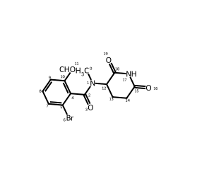 CN(C(=O)c1c(Br)cccc1C=O)C1CCC(=O)NC1=O